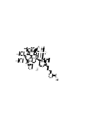 CCCCC1CCC(C(=O)N[C@H](C(C)C)[C@H]2O[C@H](SC)[C@H](O)[C@@H](O)[C@H]2O)NC1